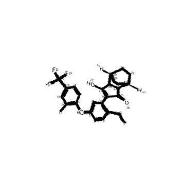 CCc1ccc(Oc2ccc(C(F)(F)F)cc2C)cc1C1=C(O)C2C(C1=O)[C@H]1CC[C@@H]2CC1